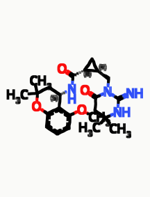 COc1cccc2c1[C@@H](NC(=O)[C@@H]1C[C@H]1CN1C(=N)NC(C)(C)CC1=O)CC(C)(C)O2